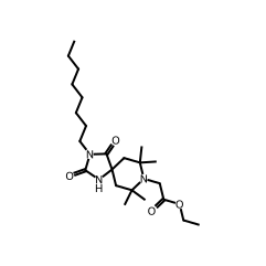 CCCCCCCCN1C(=O)NC2(CC(C)(C)N(CC(=O)OCC)C(C)(C)C2)C1=O